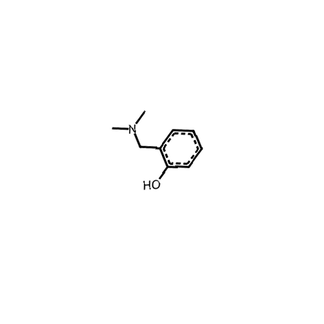 CN(C)Cc1ccccc1O